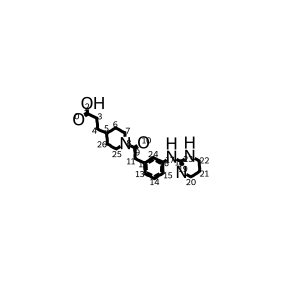 O=C(O)CCC1CCN(C(=O)Cc2cccc(NC3=NCCCN3)c2)CC1